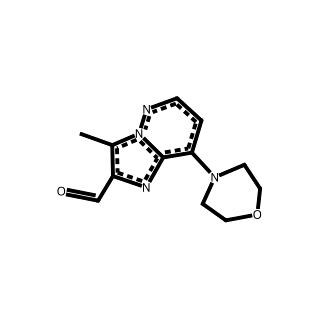 Cc1c(C=O)nc2c(N3CCOCC3)ccnn12